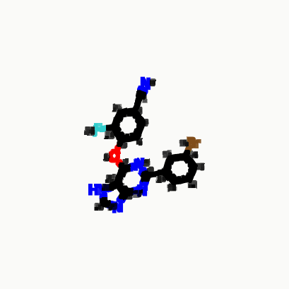 N#Cc1ccc(Oc2nc(-c3cccc(Br)c3)nc3nc[nH]c23)c(F)c1